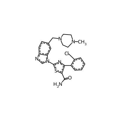 CN1CCN(Cc2ccc3ncn(-c4nc(-c5ccccc5Cl)c(C(N)=O)s4)c3c2)CC1